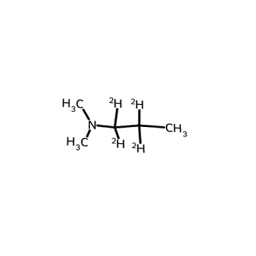 [2H]C([2H])(C)C([2H])([2H])N(C)C